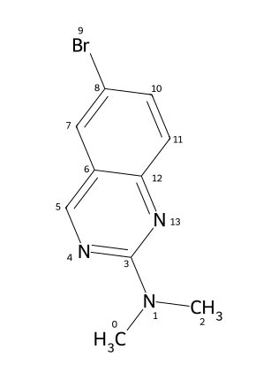 CN(C)c1ncc2cc(Br)ccc2n1